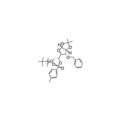 Cc1ccc(S(=O)(=O)O[C@H](CO[Si](C)(C)C(C)(C)C)[C@H]2O[C@@H]3OC(C)(C)O[C@@H]3[C@@H]2OCc2ccccc2)cc1